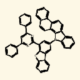 c1ccc(-c2cc(-c3ccccc3)nc(-c3cc(-n4c5ccccc5c5ccc6c7ccccc7ccc6c54)cc4c3sc3ccccc34)n2)cc1